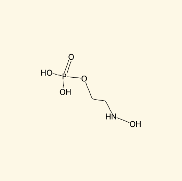 O=P(O)(O)OCCNO